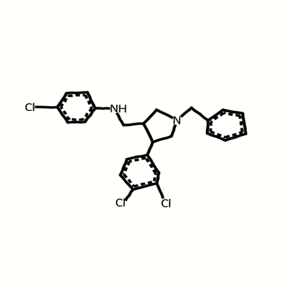 Clc1ccc(NCC2CN(Cc3ccccc3)CC2c2ccc(Cl)c(Cl)c2)cc1